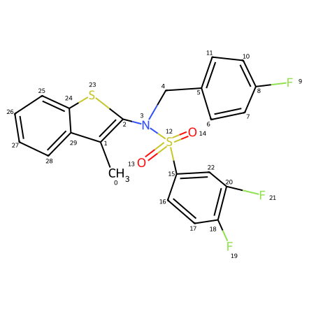 Cc1c(N(Cc2ccc(F)cc2)S(=O)(=O)c2ccc(F)c(F)c2)sc2ccccc12